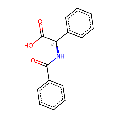 O=C(N[C@@H](C(=O)O)c1ccccc1)c1ccccc1